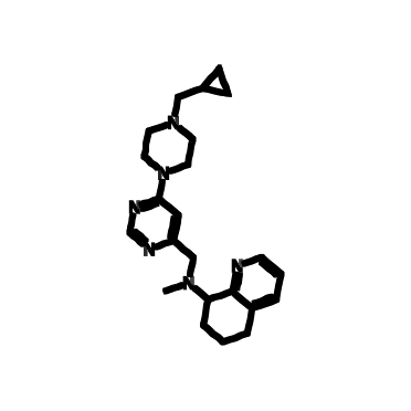 CN(Cc1cc(N2CCN(CC3CC3)CC2)ncn1)C1CCCc2cccnc21